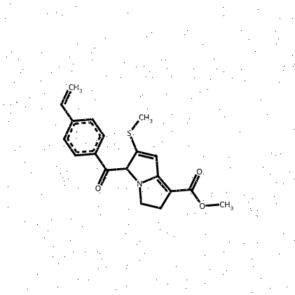 C=Cc1ccc(C(=O)C2C(SC)=CC3=C(C(=O)OC)CCN32)cc1